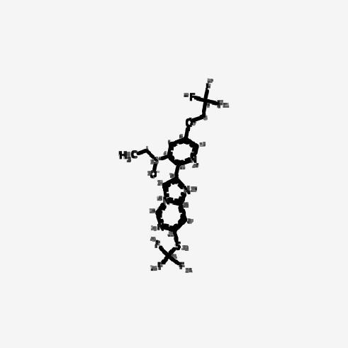 CC[S+]([O-])c1cc(OCC(F)(F)F)cnc1-c1cn2cnc(SC(F)(F)F)cc2n1